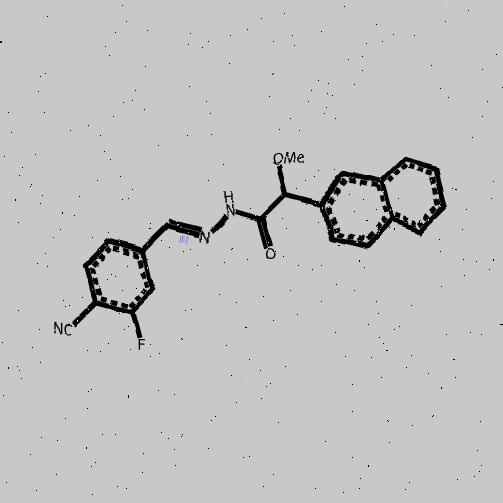 COC(C(=O)N/N=C/c1ccc(C#N)c(F)c1)c1ccc2ccccc2c1